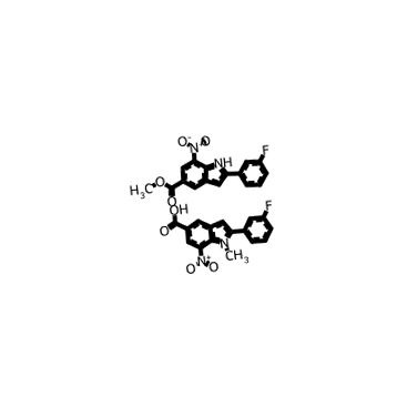 COC(=O)c1cc([N+](=O)[O-])c2[nH]c(-c3cccc(F)c3)cc2c1.Cn1c(-c2cccc(F)c2)cc2cc(C(=O)O)cc([N+](=O)[O-])c21